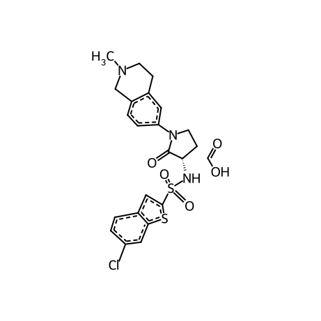 CN1CCc2cc(N3CC[C@H](NS(=O)(=O)c4cc5ccc(Cl)cc5s4)C3=O)ccc2C1.O=CO